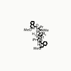 CC/C=C\C(C)(/N=C(\NCC)[C@@H](NC(=O)c1nc(OC)cc2ccccc12)C(C)C)[C@@H](C)/N=C(\NC)[C@@H](NC(=O)c1nc(OC)cc2ccccc12)C(C)C